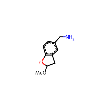 COC1Cc2cc(CN)ccc2O1